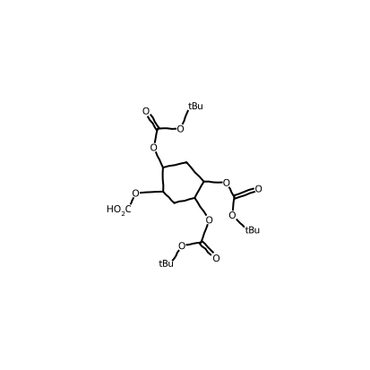 CC(C)(C)OC(=O)OC1CC(OC(=O)OC(C)(C)C)C(OC(=O)OC(C)(C)C)CC1OC(=O)O